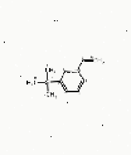 C=Cc1cccc([Si](C)(C)C)c1